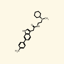 CN(CCNC(=O)Cc1c[nH]c2cc(-c3ccc(N)cc3)ccc12)C1CCCCC1